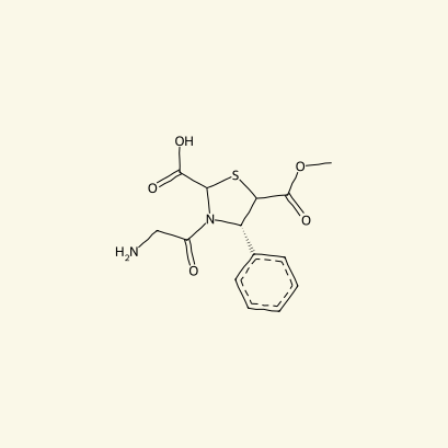 COC(=O)C1SC(C(=O)O)N(C(=O)CN)[C@H]1c1ccccc1